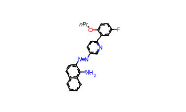 CCCOc1ccc(F)cc1-c1ccc(N=Nc2ccc3ccccc3c2N)cn1